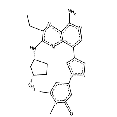 CCc1nc2c(N)ncc(-c3cnn(-c4cc(C)n(C)c(=O)c4)c3)c2nc1N[C@@H]1CC[C@H](N)C1